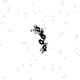 O=C1CCC(N2Cc3cc(C[C@H]4CCCC[C@@H]4N[C@H]4CC[C@@]5(CC4)CC5(F)F)ccc3C2=O)C(=O)N1